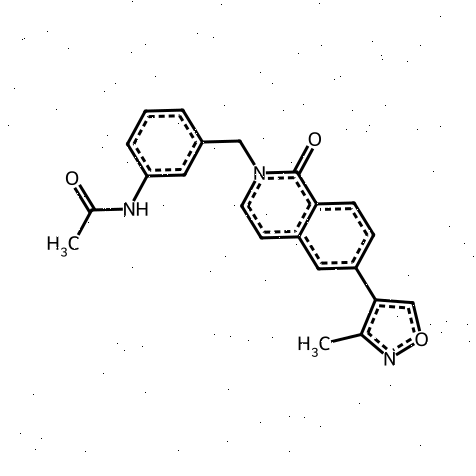 CC(=O)Nc1cccc(Cn2ccc3cc(-c4conc4C)ccc3c2=O)c1